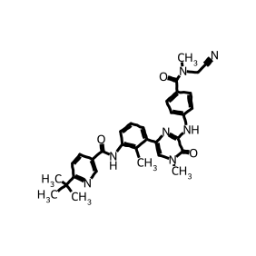 Cc1c(NC(=O)c2ccc(C(C)(C)C)nc2)cccc1-c1cn(C)c(=O)c(Nc2ccc(C(=O)N(C)CC#N)cc2)n1